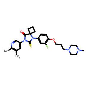 CN1CCN(CCCOc2ccc(N3C(=S)N(c4cnc(C#N)c(C(F)(F)F)c4)C(=O)C34CCC4)cc2F)CC1